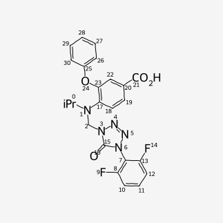 CC(C)N(Cn1nnn(-c2c(F)cccc2F)c1=O)c1ccc(C(=O)O)cc1Oc1ccccc1